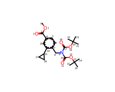 COC(=O)c1ccc(CN(C(=O)OC(C)(C)C)C(=O)OC(C)(C)C)c(C2CC2)c1